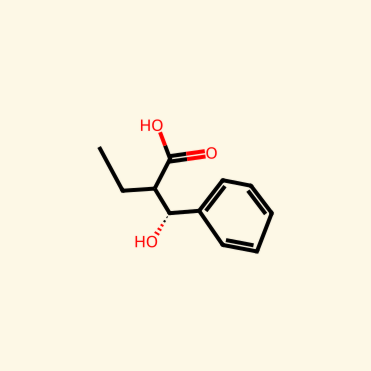 CCC(C(=O)O)[C@@H](O)c1ccccc1